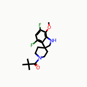 COc1c(F)cc(F)c2c1NCC21CCN(C(=O)C(C)(C)C)CC1